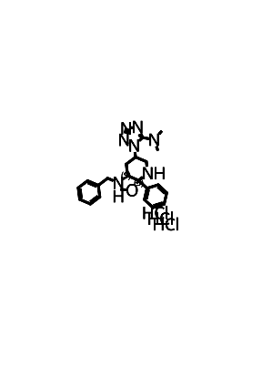 CO[C@]1(c2ccccc2)NCC(n2nnnc2N(C)C)C[C@@H]1NCc1ccccc1.Cl.Cl.Cl